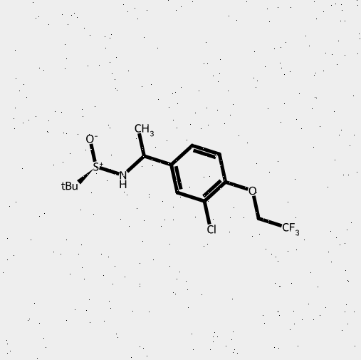 CC(N[S@+]([O-])C(C)(C)C)c1ccc(OCC(F)(F)F)c(Cl)c1